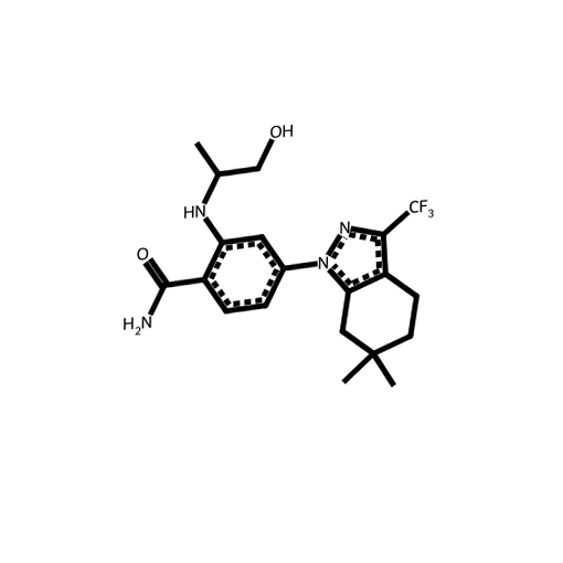 CC(CO)Nc1cc(-n2nc(C(F)(F)F)c3c2CC(C)(C)CC3)ccc1C(N)=O